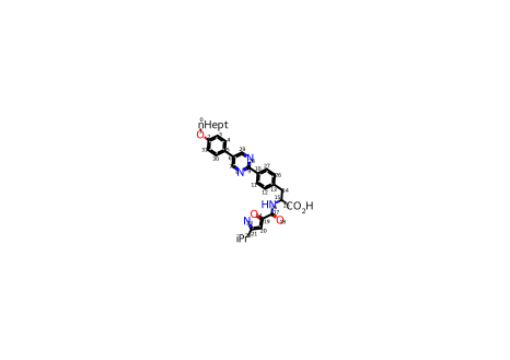 CCCCCCCOc1ccc(-c2cnc(-c3ccc(CC(NC(=O)c4cc(C(C)C)no4)C(=O)O)cc3)nc2)cc1